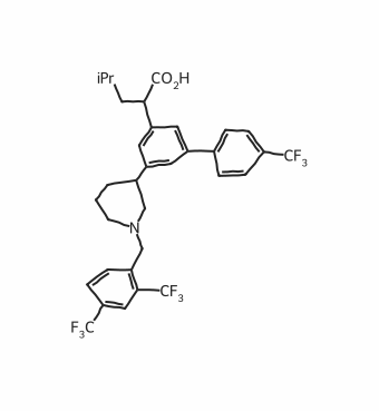 CC(C)CC(C(=O)O)c1cc(-c2ccc(C(F)(F)F)cc2)cc(C2CCCN(Cc3ccc(C(F)(F)F)cc3C(F)(F)F)C2)c1